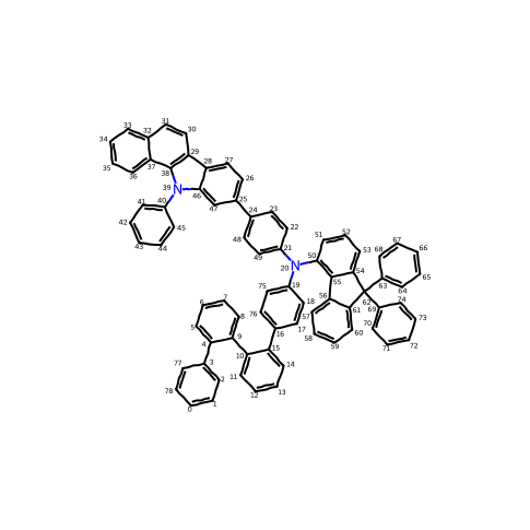 c1ccc(-c2ccccc2-c2ccccc2-c2ccc(N(c3ccc(-c4ccc5c6ccc7ccccc7c6n(-c6ccccc6)c5c4)cc3)c3cccc4c3-c3ccccc3C4(c3ccccc3)c3ccccc3)cc2)cc1